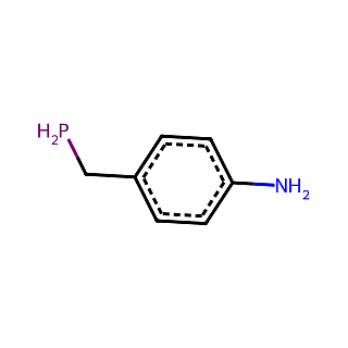 Nc1ccc(CP)cc1